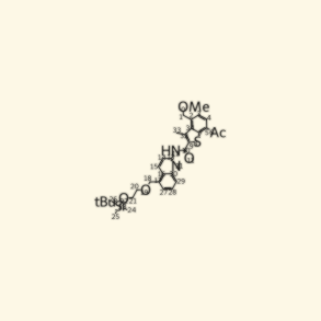 COCc1ccc(C(C)=O)c2sc(C(=O)Nc3ccc4c(COCCO[Si](C)(C)C(C)(C)C)cccc4n3)c(C)c12